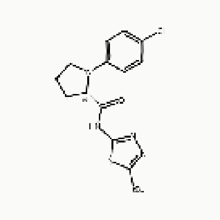 CC(C)(C)c1nnc(NC(=O)[C@@H]2CCCN2c2ccc(Cl)cc2)s1